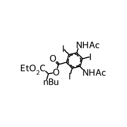 CCCCC(OC(=O)c1c(I)c(NC(C)=O)c(I)c(NC(C)=O)c1I)C(=O)OCC